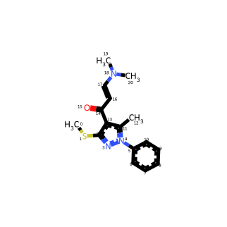 CSc1nn(-c2ccccc2)c(C)c1C(=O)C=CN(C)C